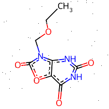 CCOCn1c(=O)oc2c(=O)[nH]c(=O)[nH]c21